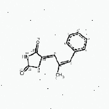 CC(=Cc1ccccc1)C=C1SC(=O)NC1=O